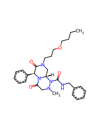 CCCCOCCCN1C[C@H]2N(C(=O)CN(C)N2C(=O)NCc2ccccc2)[C@@H](c2ccccc2)C1=O